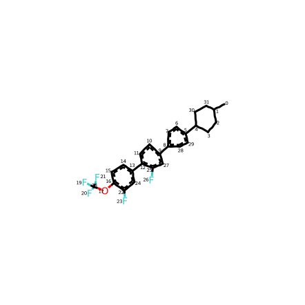 CC1CCC(c2ccc(-c3ccc(-c4ccc(OC(F)(F)F)c(F)c4)c(F)c3)cc2)CC1